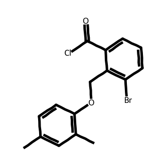 Cc1ccc(OCc2c(Br)cccc2C(=O)Cl)c(C)c1